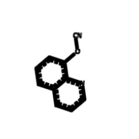 N#COc1cccc2cccnc12